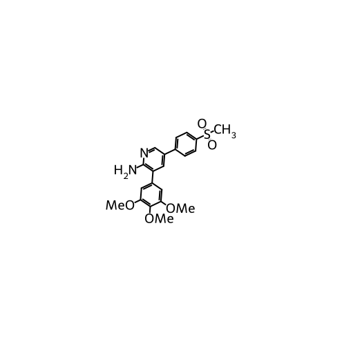 COc1cc(-c2cc(-c3ccc(S(C)(=O)=O)cc3)cnc2N)cc(OC)c1OC